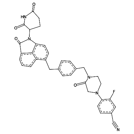 N#Cc1ccc(N2CCN(Cc3ccc(Cc4ccc5c6c(cccc46)C(=O)N5C4CCC(=O)NC4=O)cc3)C(=O)C2)c(F)c1